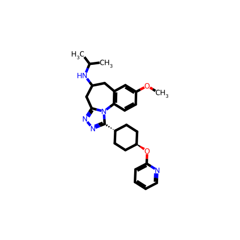 COc1ccc2c(c1)CC(NC(C)C)Cc1nnc([C@H]3CC[C@H](Oc4ccccn4)CC3)n1-2